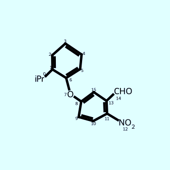 CC(C)c1ccccc1Oc1ccc([N+](=O)[O-])c(C=O)c1